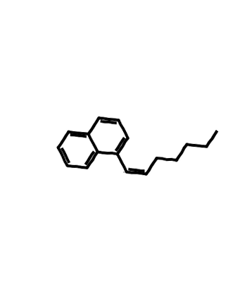 CCCCC/C=[C]\c1cccc2ccccc12